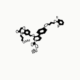 COCCCN1C(=O)COc2ccc(COC3CN(C(=O)OC(C)(C)C)CCC3c3ccc(OCCCOc4c(F)cccc4F)cc3)cc21